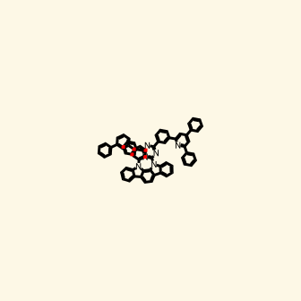 c1ccc(-c2cccc(-c3cccc(-n4c5ccccc5c5ccc6c7ccccc7n(-c7nc(-c8ccccc8)nc(-c8cccc(-c9cc(-c%10ccccc%10)cc(-c%10ccccc%10)n9)c8)n7)c6c54)c3)c2)cc1